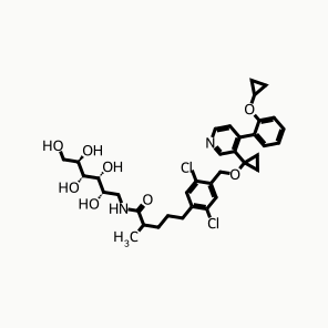 CC(CCCc1cc(Cl)c(COC2(c3cnccc3-c3ccccc3OC3CC3)CC2)cc1Cl)C(=O)NC[C@H](O)[C@@H](O)[C@H](O)[C@H](O)CO